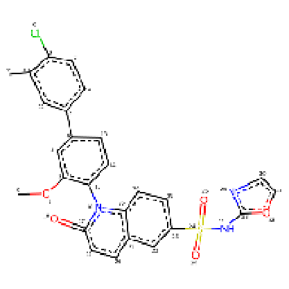 COc1cc(-c2ccc(Cl)c(C)c2)ccc1-n1c(=O)ccc2cc(S(=O)(=O)Nc3ncco3)ccc21